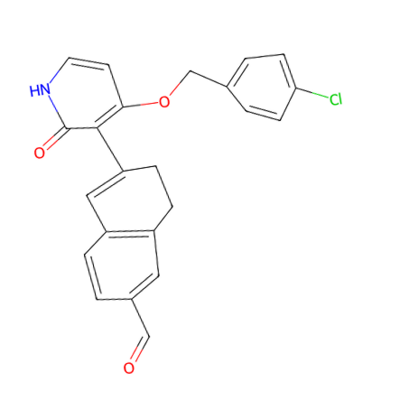 O=Cc1ccc2c(c1)CCC(c1c(OCc3ccc(Cl)cc3)cc[nH]c1=O)=C2